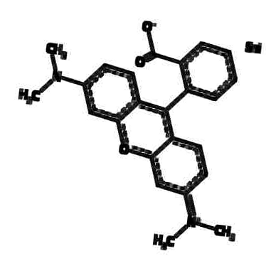 CN(C)c1ccc2c(-c3ccccc3C(=O)[O-])c3ccc(=[N+](C)C)cc-3oc2c1.[Sn]